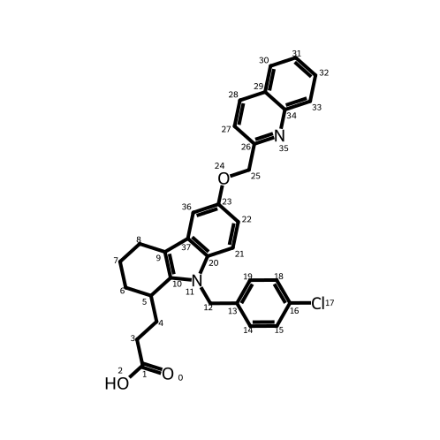 O=C(O)CCC1CCCc2c1n(Cc1ccc(Cl)cc1)c1ccc(OCc3ccc4ccccc4n3)cc21